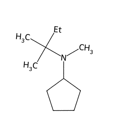 CCC(C)(C)N(C)C1CCCC1